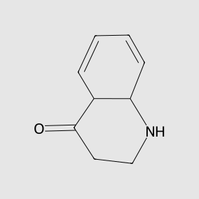 O=C1CCNC2C=CC=CC12